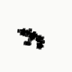 Cc1c(CN2CCN(C(=O)C3CCCC3)C(C)C2)cc(Cl)cc1NC(=O)CC1CCNC1.Cl.Cl